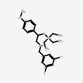 CC[Si](CC)(CC)OC(CNCc1cc(F)cc(F)c1)c1ccc(OC)cc1